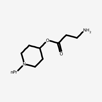 CCCN1CCC(OC(=O)CCN)CC1